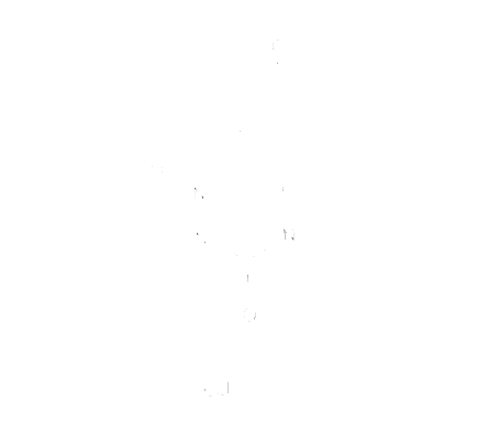 [O-][n+]1nc(OCC(Cl)(Cl)Cl)nc2ccc(Cl)cc21